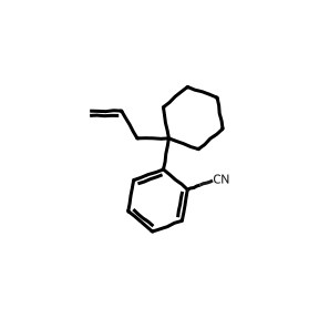 C=CCC1(c2ccccc2C#N)CCCCC1